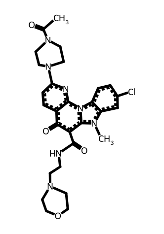 CC(=O)N1CCN(c2ccc3c(=O)c(C(=O)NCCN4CCOCC4)c4n(C)c5cc(Cl)ccc5n4c3n2)CC1